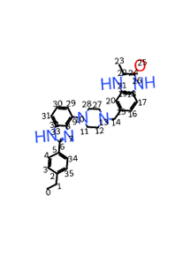 CCc1ccc(-c2nc3c(N4CCN(Cc5ccc6c(c5)NC(C)C(=O)N6)CC4)cccc3[nH]2)cc1